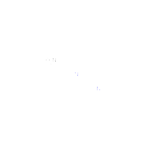 CN1CCC2(CC1)CCN(c1ccc([N+](=O)[O-])cc1)CC2